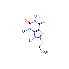 CCn1c(SCC(=O)O)nc2c(=O)n(C)c(=O)n(C)c21